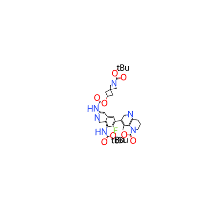 Cc1c(-c2cc3cc(NC(=O)OC4CC5(C4)CN(C(=O)OC(C)(C)C)C5)ncc3c(NC(=O)OC(C)(C)C)c2F)cnc2c1N(C(=O)OC(C)(C)C)CCC2